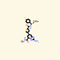 CC[C@H](C)NC(=O)c1cc(-c2csc(C(=O)N[C@@H](COC)c3ccc(F)cc3)c2)cc2nc(N)nn12